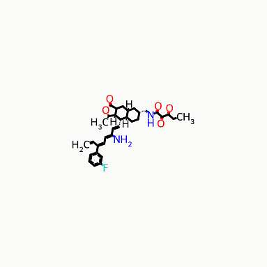 C=C\C(=C/C=C(N)/C=C/[C@H]1[C@@H]2CC[C@@H](CNC(=O)C(=O)C(=O)CC)C[C@H]2CC2C(=O)O[C@H](C)[C@H]21)c1cccc(F)c1